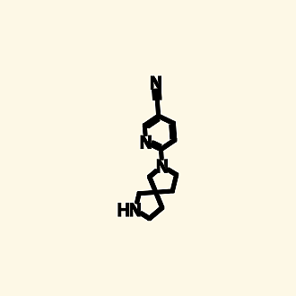 N#Cc1ccc(N2CCC3(CCNC3)C2)nc1